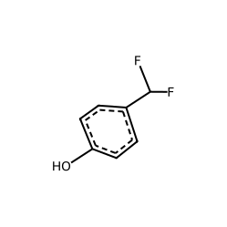 Oc1ccc(C(F)F)cc1